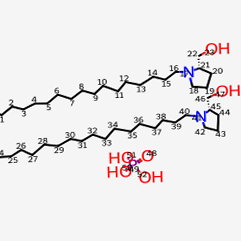 CCCCCCCCCCCCCCCCCN1CCC[C@H]1CO.CCCCCCCCCCCCCCCCCN1CCC[C@H]1CO.O=P(O)(O)O